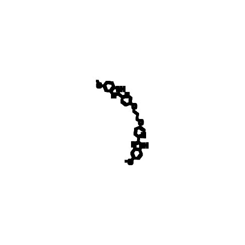 COc1ccc2[nH]c(-c3ccc(OCCCOc4ccc(-c5nc6cc(OC)ccc6[nH]5)nc4)cn3)nc2c1